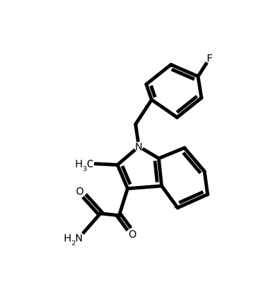 Cc1c(C(=O)C(N)=O)c2[c]cccc2n1Cc1ccc(F)cc1